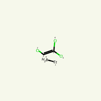 BCC.ClC=C(Cl)Cl